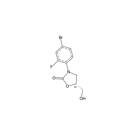 O=C1O[C@@H](CO)CN1c1ccc(Br)cc1F